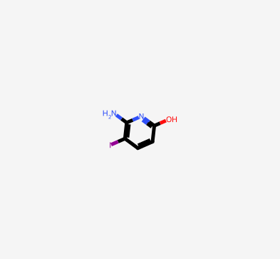 Nc1nc(O)ccc1I